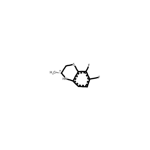 C[C@@H]1CSc2c(ccc(F)c2F)N1